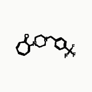 O=c1cccccc1N1CCN(Cc2ccc(C(F)(F)F)cc2)CC1